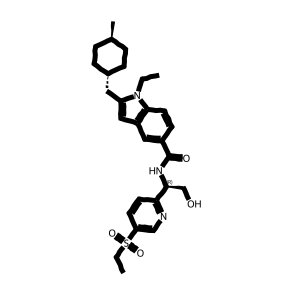 CCn1c(C[C@H]2CC[C@H](C)CC2)cc2cc(C(=O)N[C@@H](CO)c3ccc(S(=O)(=O)CC)cn3)ccc21